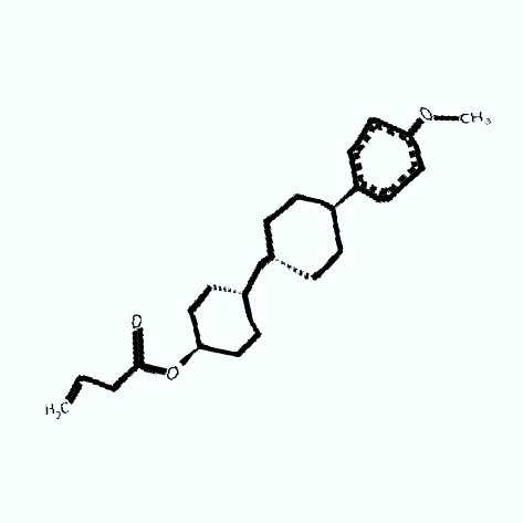 C=CCC(=O)O[C@H]1CC[C@H]([C@H]2CC[C@H](c3ccc(OC)cc3)CC2)CC1